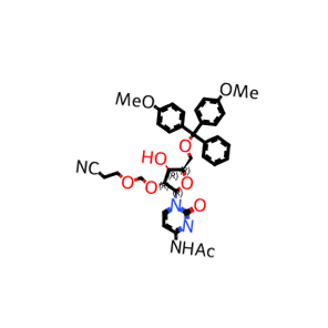 COc1ccc(C(OC[C@H]2O[C@@H](n3ccc(NC(C)=O)nc3=O)[C@H](OCOCCC#N)[C@@H]2O)(c2ccccc2)c2ccc(OC)cc2)cc1